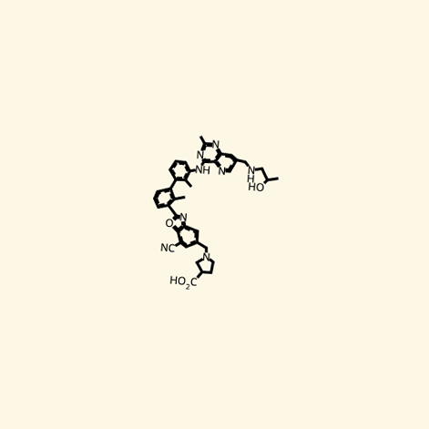 Cc1nc(Nc2cccc(-c3cccc(-c4nc5cc(CN6CCC(C(=O)O)C6)cc(C#N)c5o4)c3C)c2C)c2ncc(CNCC(C)O)cc2n1